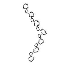 c1ccc(Oc2cccc(Oc3cccc(Oc4ccccc4Oc4cccc(Oc5cccc(Oc6ccccc6)c5)c4)c3)c2)cc1